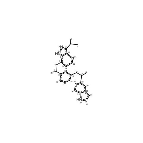 CC(C)c1n[nH]c2c(CC(C)c3nccc(CC(C)c4cc5cn[nH]c5cn4)n3)ccnc12